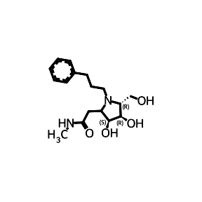 CNC(=O)CC1[C@H](O)[C@H](O)[C@@H](CO)N1CCCc1ccccc1